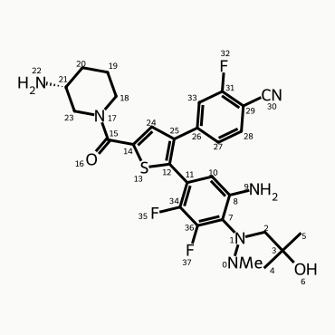 CNN(CC(C)(C)O)c1c(N)cc(-c2sc(C(=O)N3CCC[C@@H](N)C3)cc2-c2ccc(C#N)c(F)c2)c(F)c1F